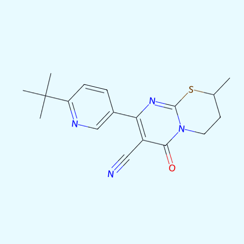 CC1CCn2c(nc(-c3ccc(C(C)(C)C)nc3)c(C#N)c2=O)S1